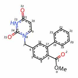 COC(=O)c1ccc(Cn2ccc(=O)[nH]c2=O)cc1-c1ccccc1